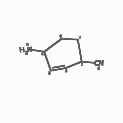 N#CC1C=CC(N)CC1